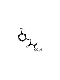 O=C(O)C(=S)C(=O)Oc1cccc(C(F)(F)F)c1